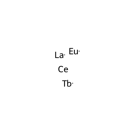 [Ce].[Eu].[La].[Tb]